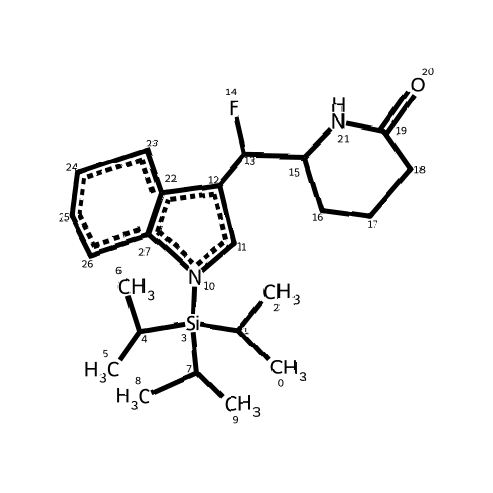 CC(C)[Si](C(C)C)(C(C)C)n1cc(C(F)C2CCCC(=O)N2)c2ccccc21